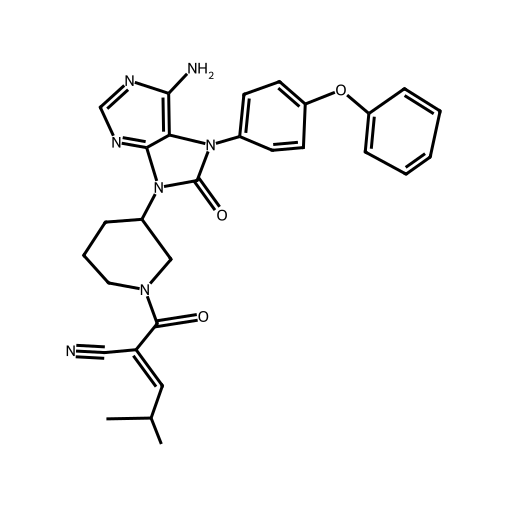 CC(C)C=C(C#N)C(=O)N1CCCC(n2c(=O)n(-c3ccc(Oc4ccccc4)cc3)c3c(N)ncnc32)C1